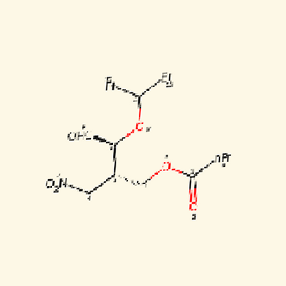 CCCC(=O)OC[C@H](C[N+](=O)[O-])[C@@H](C=O)OC(CC)CC